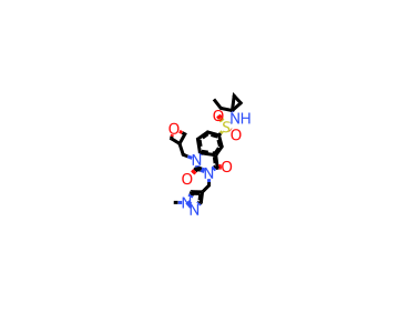 CCC1(NS(=O)(=O)c2ccc3c(c2)c(=O)n(Cc2cnn(C)c2)c(=O)n3CC2COC2)CC1